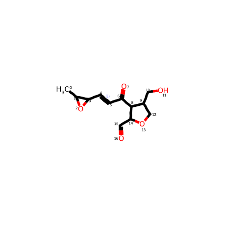 CC1OC1/C=C/C(=O)C1C(CO)COC1C=O